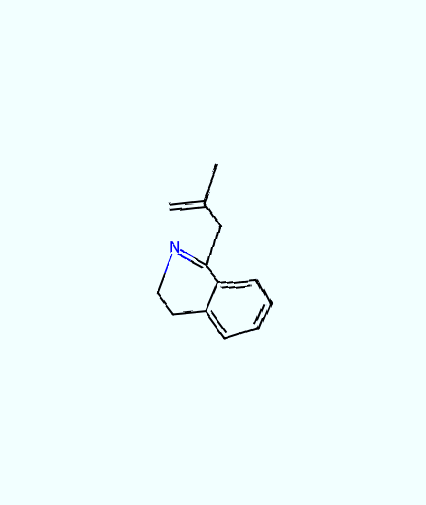 C=C(C)CC1=NCCc2ccccc21